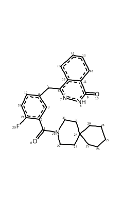 O=C(c1cc(Cc2n[nH]c(=O)c3ccccc23)ccc1F)N1CCC2(CCCCC2)CC1